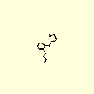 C=CCCc1ccccc1C(Cl)c1cccc(F)n1